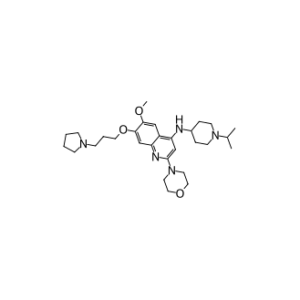 COc1cc2c(NC3CCN(C(C)C)CC3)cc(N3CCOCC3)nc2cc1OCCCN1CCCC1